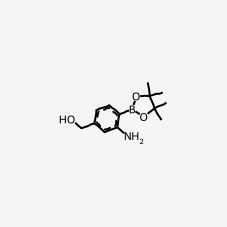 CC1(C)OB(c2ccc(CO)cc2N)OC1(C)C